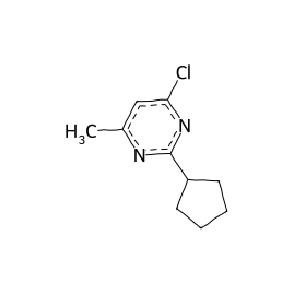 Cc1cc(Cl)nc(C2CCCC2)n1